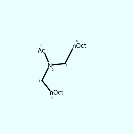 CCCCCCCCCN(CCCCCCCCC)C(C)=O